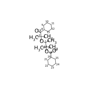 CC(OC(C)(C)C(=O)C1CCCCC1)C(C)(C)OC(=O)C1CCCCC1